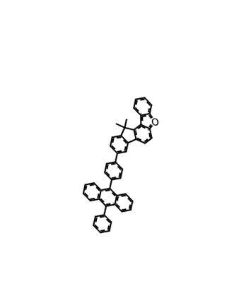 CC1(C)c2ccc(-c3ccc(-c4c5ccccc5c(-c5ccccc5)c5ccccc45)cc3)cc2-c2ccc3oc4ccccc4c3c21